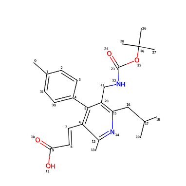 Cc1ccc(-c2c(/C=C/C(=O)O)c(C)nc(CC(C)C)c2CNC(=O)OC(C)(C)C)cc1